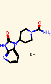 NC(=O)N1CCC(n2c(=O)[nH]c3ncccc32)CC1.[KH]